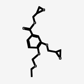 CCOCOc1ccc(C(=O)OCC2CO2)cc1OCC1CO1